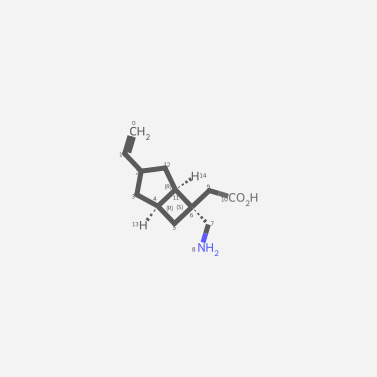 C=CC1C[C@@H]2C[C@](CN)(CC(=O)O)[C@@H]2C1